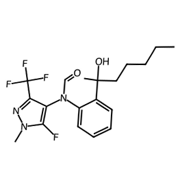 CCCCCC(C)(O)c1ccccc1N(C=O)c1c(C(F)(F)F)nn(C)c1F